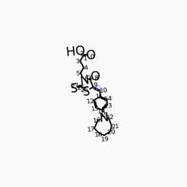 O=C(O)CCCN1C(=O)/C(=C/c2ccc(N3CCCCCCC3)cc2)SC1=S